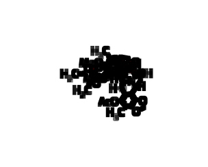 C=COC(=O)Oc1cc2c(cc1OC)[C@@]1(CS[C@@H]3c4c(OC(C)=O)c(C)c5c(c4[C@H](COC1=O)N1C3[C@H]3c4c(cc(C)c(OC)c4OC(=O)OC=C)C[C@@H]([C@@H]1O)N3C)OCO5)NCC2